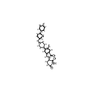 Cc1ccc(-c2ccc(CN3CCC(c4cc5c(cc4F)C(=O)N(C4CCC(=O)NC4=O)C5)CC3)cn2)cc1